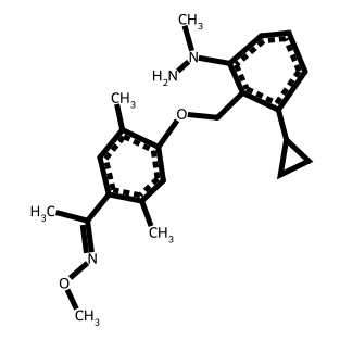 CON=C(C)c1cc(C)c(OCc2c(C3CC3)cccc2N(C)N)cc1C